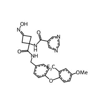 COc1ccc(Oc2ccc(CNC(=O)C3(NC(=O)c4cncnc4)CC(=NO)C3)cc2)c(C(F)(F)F)c1